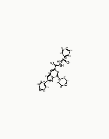 O=C(NNC(=O)c1cc(N2CCOCC2)n2nc(-c3ccncc3)cc2n1)c1ccccc1